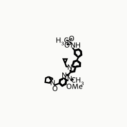 COc1cc(C(=O)N2CC3CCC2C3)cc2nc(-c3cc4ccc(-c5cccc(CNS(C)(=O)=O)c5)cc4n3CC3CC3)n(C)c12